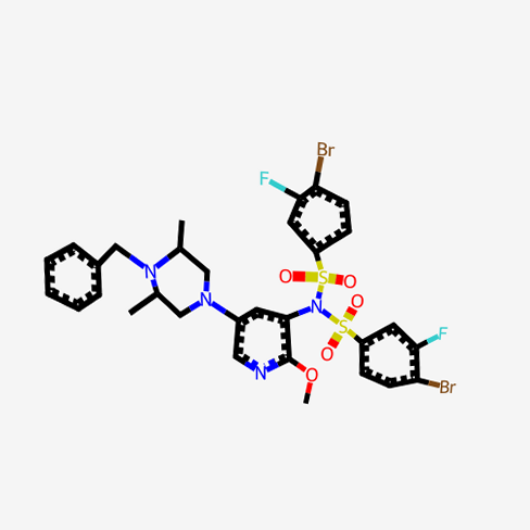 COc1ncc(N2CC(C)N(Cc3ccccc3)C(C)C2)cc1N(S(=O)(=O)c1ccc(Br)c(F)c1)S(=O)(=O)c1ccc(Br)c(F)c1